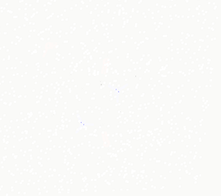 CCN1C(=O)CN(CC(=O)O)C(=O)c2cc(CO)ccc21